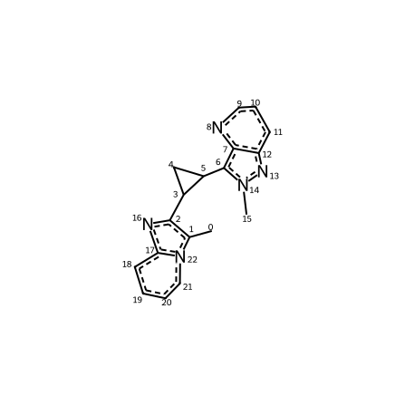 Cc1c(C2CC2c2c3ncccc3nn2C)nc2ccccn12